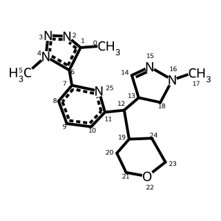 Cc1nnn(C)c1-c1cccc(C(C2C=NN(C)C2)C2CCOCC2)n1